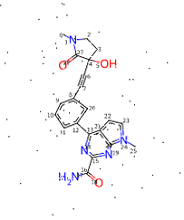 CN1CCC(O)(C#Cc2cccc(-c3nc(C(N)=O)nc4c3ccn4C)c2)C1=O